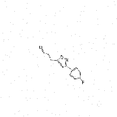 O=CCCc1cc(-c2ccc(F)cc2)no1